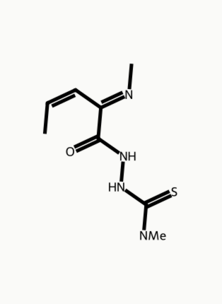 C/C=C\C(=N/C)C(=O)NNC(=S)NC